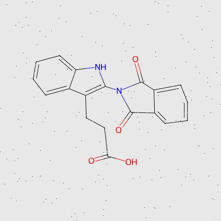 O=C(O)CCc1c(N2C(=O)c3ccccc3C2=O)[nH]c2ccccc12